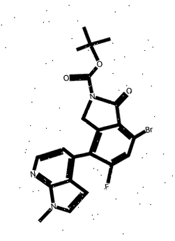 Cn1ccc2c(-c3c(F)cc(Br)c4c3CN(C(=O)OC(C)(C)C)C4=O)ccnc21